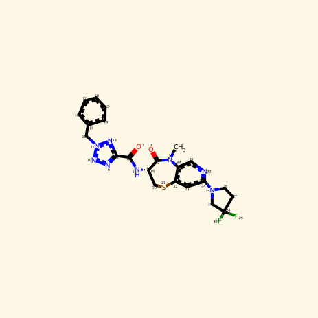 CN1C(=O)[C@@H](NC(=O)c2nnn(Cc3ccccc3)n2)CSc2cc(N3CCC(F)(F)C3)ncc21